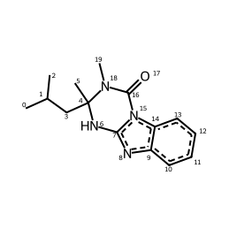 CC(C)CC1(C)Nc2nc3ccccc3n2C(=O)N1C